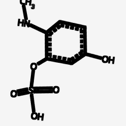 CNc1ccc(O)cc1OS(=O)(=O)O